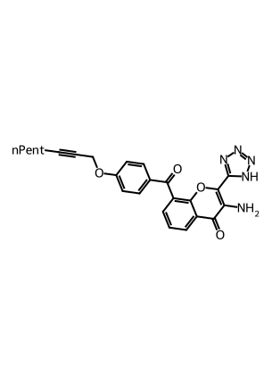 CCCCCC#CCOc1ccc(C(=O)c2cccc3c(=O)c(N)c(-c4nnn[nH]4)oc23)cc1